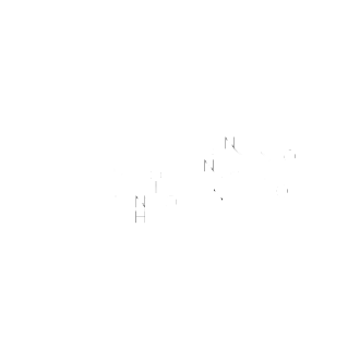 COc1cc2ncnc(N3CCCC3COC(=O)Nc3ccc(C(C)C)cc3)c2cc1OC